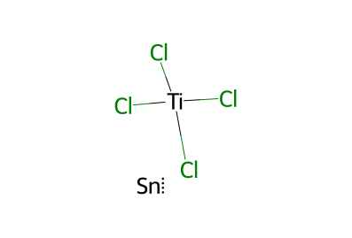 [Cl][Ti]([Cl])([Cl])[Cl].[Sn]